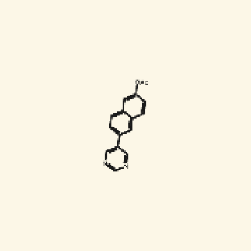 CC(=O)Oc1ccc2cc(-c3cncnc3)ccc2c1